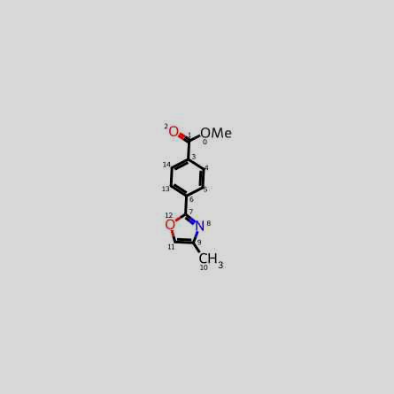 COC(=O)c1ccc(-c2nc(C)co2)cc1